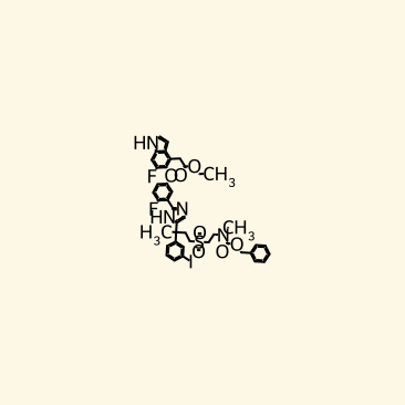 CCOC(=O)Cc1c(Oc2ccc(F)c(-c3ncc(C(C)(CCS(=O)(=O)CCN(C)C(=O)OCc4ccccc4)c4cccc(I)c4)[nH]3)c2)c(F)cc2[nH]ccc12